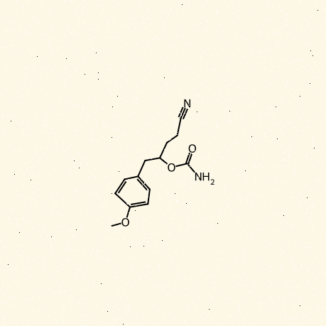 COc1ccc(CC(CCC#N)OC(N)=O)cc1